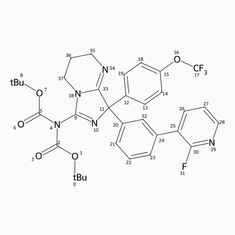 CC(C)(C)OC(=O)N(C(=O)OC(C)(C)C)C1=NC(c2ccc(OC(F)(F)F)cc2)(c2cccc(-c3cccnc3F)c2)C2=NCCCN12